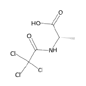 C[C@H](NC(=O)C(Cl)(Cl)Cl)C(=O)O